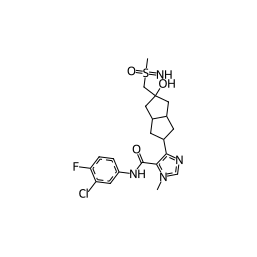 Cn1cnc(C2CC3CC(O)(CS(C)(=N)=O)CC3C2)c1C(=O)Nc1ccc(F)c(Cl)c1